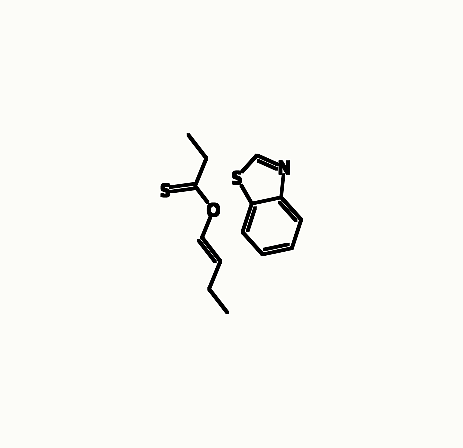 CCC=COC(=S)CC.c1ccc2scnc2c1